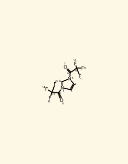 O=C(N1C=CN(C(=O)C(F)(F)F)C1)C(F)(F)F